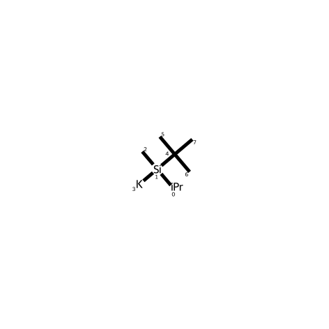 CC(C)[Si](C)([K])C(C)(C)C